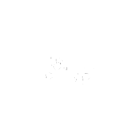 COc1ccccc1C(=O)N(C)CCCNc1cc(-c2ccccc2Cl)nc2c(Br)cnn12